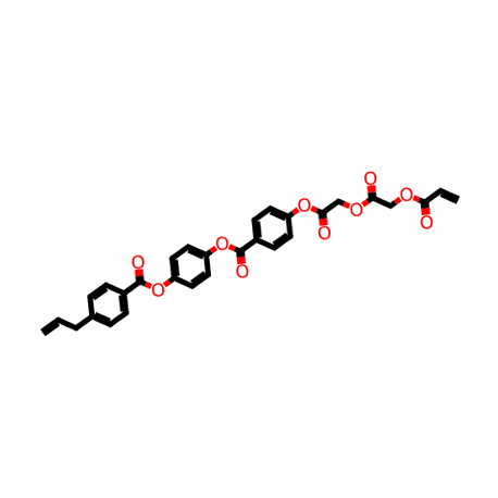 C=CCc1ccc(C(=O)Oc2ccc(OC(=O)c3ccc(OC(=O)COC(=O)COC(=O)C=C)cc3)cc2)cc1